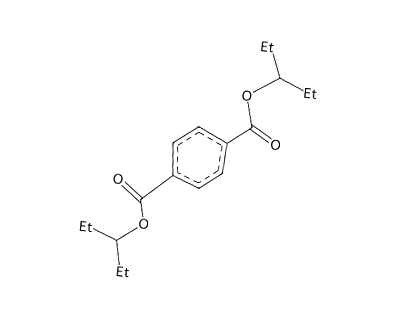 CCC(CC)OC(=O)c1ccc(C(=O)OC(CC)CC)cc1